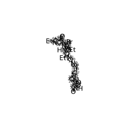 CCOc1cc(N2CCC(N3CCN(CC4CCN(c5cccc6c5oc(=O)n6C5CCC(=O)NC5=O)CC4)CC3)CC2)c(CC)cc1Nc1ncc(Br)c(Nc2ccc3nc(CC)ccc3c2P(C)(C)=O)n1